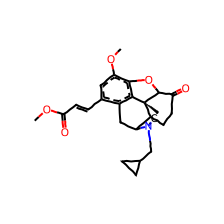 COC(=O)/C=C/c1cc(OC)c2c3c1CC1C4CCC(=O)C(O2)[C@@]34CCN1CC1CC1